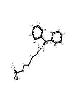 O=C(O)CCCCCON=C(c1ccccc1)c1ccccc1